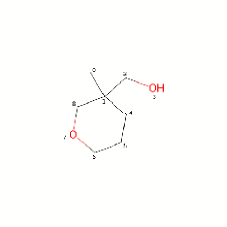 CC1(CO)CCCOC1